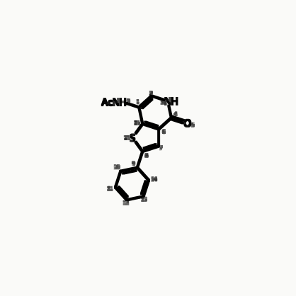 CC(=O)Nc1c[nH]c(=O)c2cc(-c3ccccc3)sc12